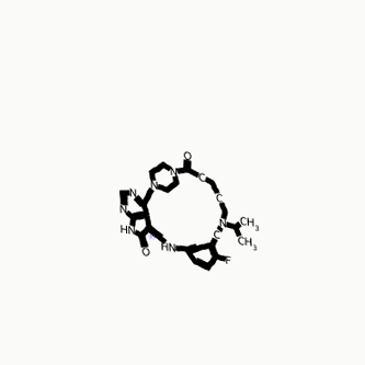 CC(C)N1CCCCC(=O)N2CCN(CC2)c2ncnc3c2/C(=C\Nc2ccc(F)c(c2)C1)C(=O)N3